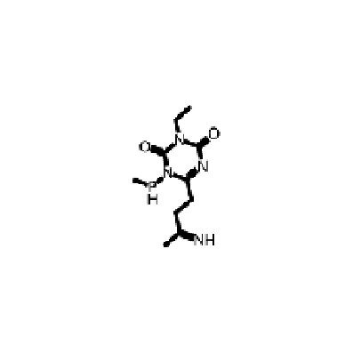 CCn1c(=O)nc(CCC(C)=N)n(PC)c1=O